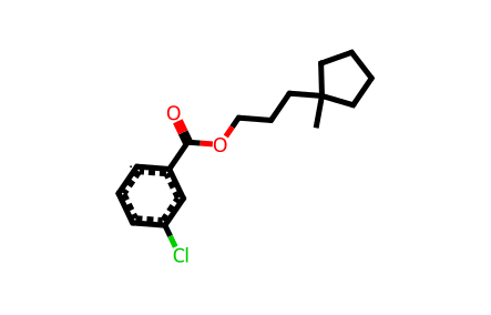 CC1(CCCOC(=O)c2[c]ccc(Cl)c2)CCCC1